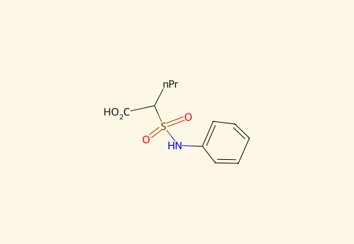 CCCC(C(=O)O)S(=O)(=O)Nc1ccccc1